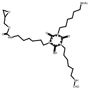 CC(=O)NCCCCCCn1c(=O)n(CCCCCCNC=O)c(=N)n(CCCCCCNC(=O)OCC2CO2)c1=O